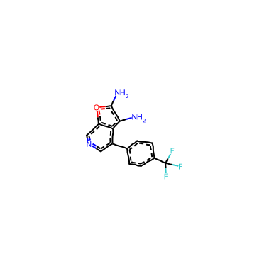 Nc1oc2cncc(-c3ccc(C(F)(F)F)cc3)c2c1N